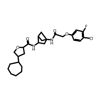 O=C(COc1ccc(Cl)c(F)c1)NC12CC(C1)C(NC(=O)C1CC(C3CCCCCC3)CO1)C2